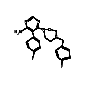 Nc1ncnc(N2CCN(Cc3ccc(F)cc3)CC2)c1-c1ccc(F)cc1